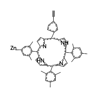 C#Cc1ccc(-c2c3nc(c(-c4c(C)cc(C)cc4C)c4ccc([nH]4)c(-c4c(C)cc(C)cc4C)c4nc(c(-c5c(C)cc(C)cc5C)c5ccc2[nH]5)C=C4)C=C3)cc1.[Zn]